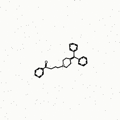 O=C(CCCN1CCC(=C(c2ccccc2)c2ccccc2)CC1)c1ccccc1